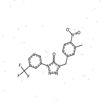 Cc1cc(Cn2nnn(-c3cccc(C(F)(F)F)c3)c2=O)ccc1[N+](=O)[O-]